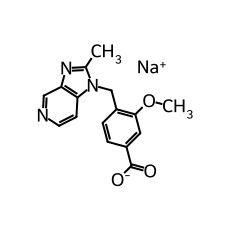 COc1cc(C(=O)[O-])ccc1Cn1c(C)nc2cnccc21.[Na+]